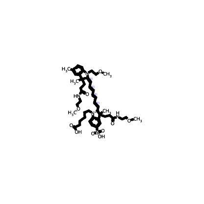 COCCNC(=O)CCC1(C)C(/C=C/C=C/C=C/C=C2/N(CCOC)c3ccc(C)cc3C2(C)CCC(=O)NCCOC)=[N+](CCCCCC(=O)O)c2ccc(S(=O)(=O)O)cc21